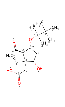 C=C[C@]1(CC(=O)O)[C@@H](O)C[C@@H](O[Si](C)(C)C(C)(C)C)[C@@H]1C=O